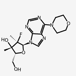 C[C@]1(O)[C@@H](CO)O[C@H](n2cnc3c(N4CCOCC4)ncnc32)[C@]1(C)F